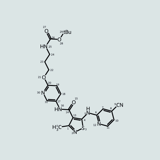 Cc1nsc(Nc2cc(C#N)ccn2)c1C(=O)Nc1ccc(OCCCNC(=O)OC(C)(C)C)nc1